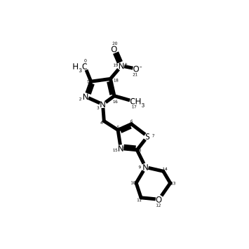 Cc1nn(Cc2csc(N3CCOCC3)n2)c(C)c1[N+](=O)[O-]